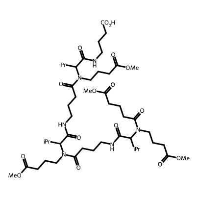 COC(=O)CCCC(=O)N(CCCC(=O)OC)C(C(=O)NCCCC(=O)N(CCCC(=O)OC)C(C(=O)NCCCC(=O)N(CCCC(=O)OC)C(C(=O)NCCCC(=O)O)C(C)C)C(C)C)C(C)C